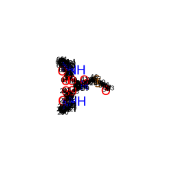 COc1cc2c(cc1OCc1cc(COc3cc4c(cc3OC)C(=O)N3c5ccccc5C[C@H]3CN4)cc(N(C)C(=O)CCC(C)(C)SSCCCC(C)=O)c1)NC[C@@H]1Cc3ccccc3N1C2=O